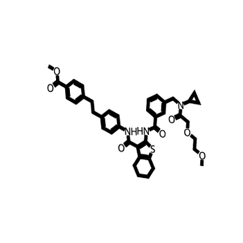 COCCOCC(=O)N(Cc1cccc(C(=O)Nc2sc3c(c2C(=O)Nc2ccc(CCc4ccc(C(=O)OC)cc4)cc2)CCCC3)c1)C1CC1